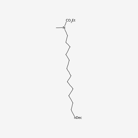 CCCCCCCCCCCCCCCCCCCCCCN(C)C(=O)OCC